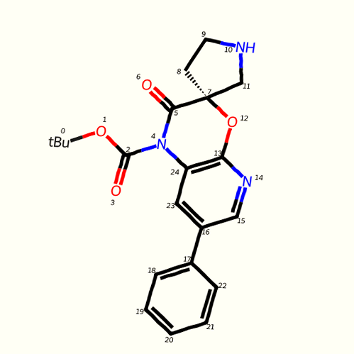 CC(C)(C)OC(=O)N1C(=O)[C@]2(CCNC2)Oc2ncc(-c3ccccc3)cc21